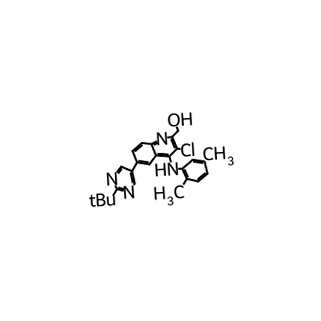 Cc1ccc(C)c(Nc2c(Cl)c(CO)nc3ccc(-c4cnc(C(C)(C)C)nc4)cc23)c1